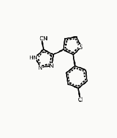 N#Cc1[nH]nnc1-c1ccsc1-c1ccc(Cl)cc1